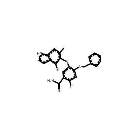 NC(=S)c1cc(Sc2c(F)cc3[nH]ccc3c2Br)c(OCc2ccccc2)cc1F